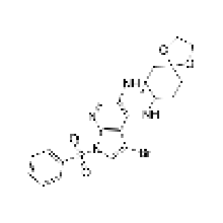 Nc1cnc2c(c(Br)cn2S(=O)(=O)c2ccccc2)c1NC1CCC2(CC1)OCCO2